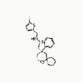 Cc1ccc(CNCC[C@@]2(c3ccccn3)CCOC3(CCCC3)C2)s1